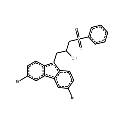 O=S(=O)(CC(O)Cn1c2ccc(Br)cc2c2cc(Br)ccc21)c1ccccc1